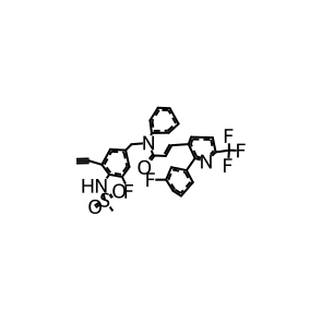 C#Cc1cc(CN(C(=O)/C=C/c2ccc(C(F)(F)F)nc2-c2cccc(F)c2)c2ccccc2)cc(F)c1NS(C)(=O)=O